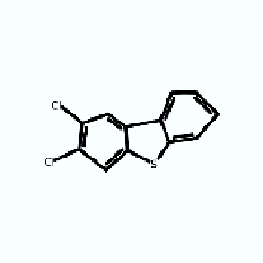 Clc1cc2sc3ccccc3c2cc1Cl